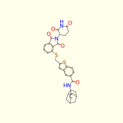 O=C1CCC(N2C(=O)c3cccc(SCc4cc5cc(C(=O)NC67CC8CC(CC6C8)C7)ccc5s4)c3C2=O)C(=O)N1